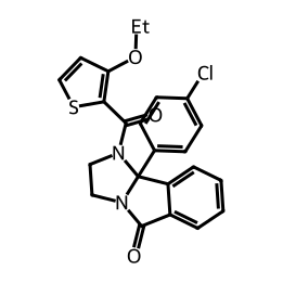 CCOc1ccsc1C(=O)N1CCN2C(=O)c3ccccc3C21c1ccc(Cl)cc1